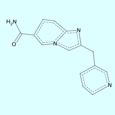 NC(=O)c1ccc2nc(Cc3cccnc3)cn2c1